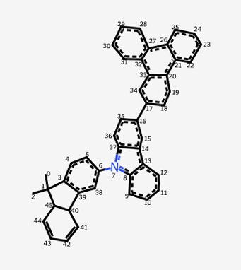 CC1(C)c2ccc(-n3c4ccccc4c4cc(-c5ccc6c7ccccc7c7ccccc7c6c5)ccc43)cc2C2C=CC=CC21